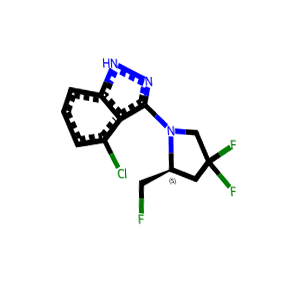 FC[C@@H]1CC(F)(F)CN1c1n[nH]c2cccc(Cl)c12